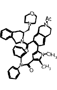 CC(=O)N1CCc2cc(-c3cc(C(=O)N(c4ccccc4)c4ccccc4)c(C)n3C)c(C(=O)N3Cc4ccccc4C[C@H]3CN3CCOCC3)cc2C1